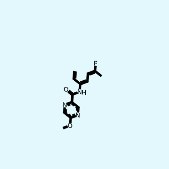 C=C/C(=C\C=C(/C)F)NC(=O)c1cnc(OC)cn1